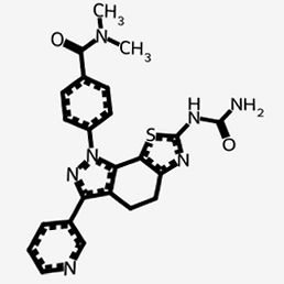 CN(C)C(=O)c1ccc(-n2nc(-c3cccnc3)c3c2-c2sc(NC(N)=O)nc2CC3)cc1